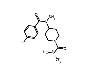 CN(C(=O)c1ccc(Cl)cc1)C1CCN(C(=O)[C@@H](O)C(F)(F)F)CC1